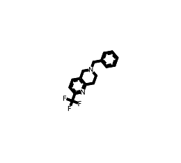 FC(F)(F)c1ccc2c(n1)CCN(Cc1ccccc1)C2